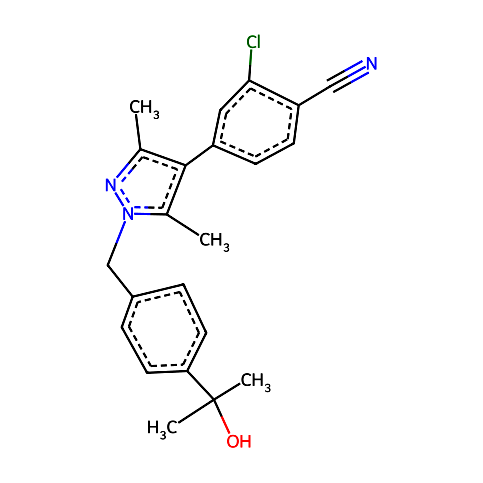 Cc1nn(Cc2ccc(C(C)(C)O)cc2)c(C)c1-c1ccc(C#N)c(Cl)c1